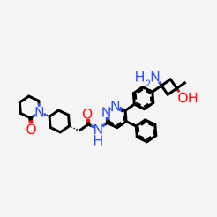 CC1(O)CC(N)(c2ccc(-c3nnc(NC(=O)C[C@H]4CC[C@H](N5CCCCC5=O)CC4)cc3-c3ccccc3)cc2)C1